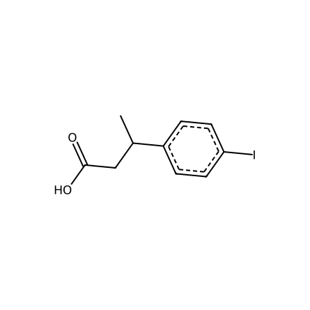 CC(CC(=O)O)c1ccc(I)cc1